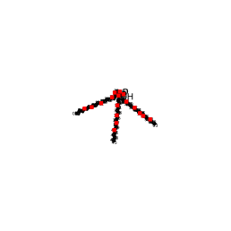 CCCCCCCCC=CCCCCCCCCc1cccc(C(=O)O)c1N(CCCCCCCCC=CCCCCCCCC)CCCCCCCCC=CCCCCCCCC